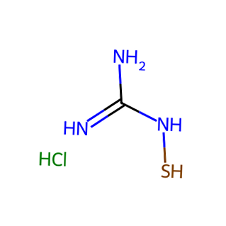 Cl.N=C(N)NS